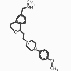 CNCc1ccc2c(c1)CCOC2CCN1CCN(c2ccc(OC)cc2)CC1